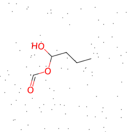 CCCC(O)O[C]=O